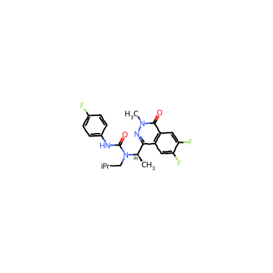 CC(C)CN(C(=O)Nc1ccc(F)cc1)[C@H](C)c1nn(C)c(=O)c2cc(F)c(F)cc12